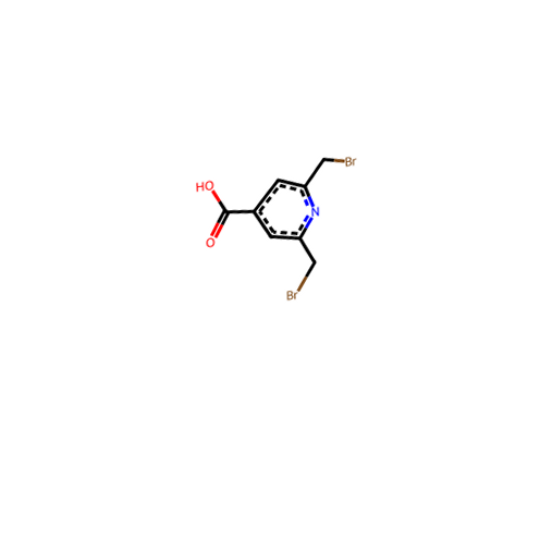 O=C(O)c1cc(CBr)nc(CBr)c1